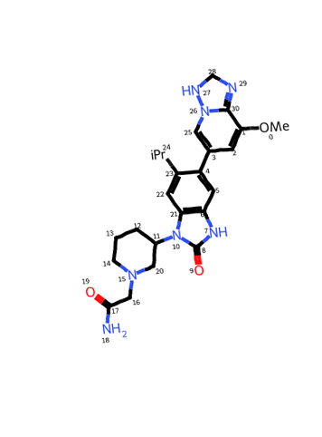 COC1=CC(c2cc3[nH]c(=O)n(C4CCCN(CC(N)=O)C4)c3cc2C(C)C)=CN2NCN=C12